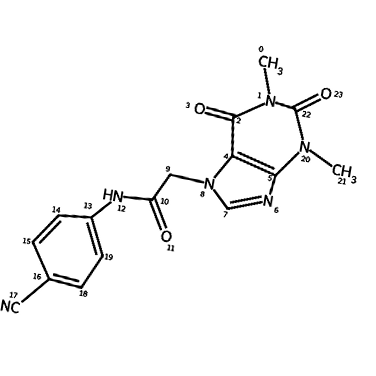 Cn1c(=O)c2c(ncn2CC(=O)Nc2ccc(C#N)cc2)n(C)c1=O